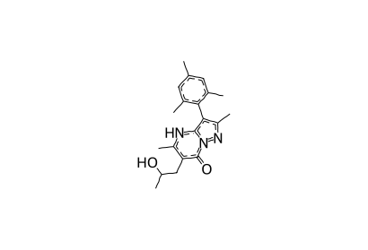 Cc1cc(C)c(-c2c(C)nn3c(=O)c(CC(C)O)c(C)[nH]c23)c(C)c1